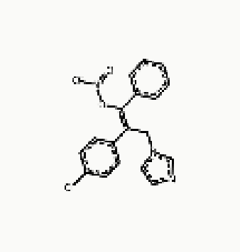 O=[N+]([O-])O/C(=C(/Cn1ccnc1)c1ccc(Cl)cc1)c1ccccc1